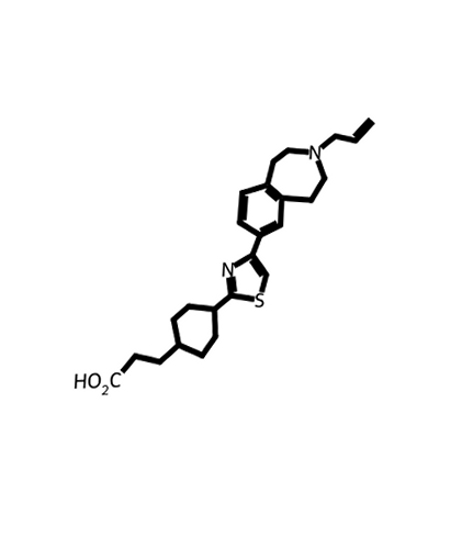 C=CCN1CCc2ccc(-c3csc(C4CCC(CCC(=O)O)CC4)n3)cc2CC1